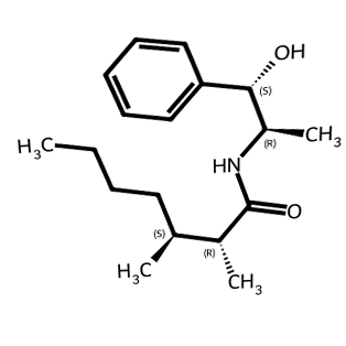 CCCC[C@H](C)[C@@H](C)C(=O)N[C@H](C)[C@@H](O)c1ccccc1